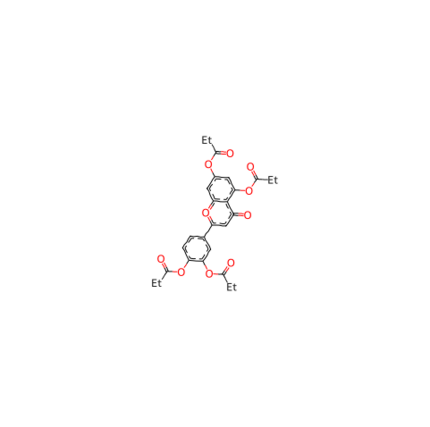 CCC(=O)Oc1cc(OC(=O)CC)c2c(=O)cc(-c3ccc(OC(=O)CC)c(OC(=O)CC)c3)oc2c1